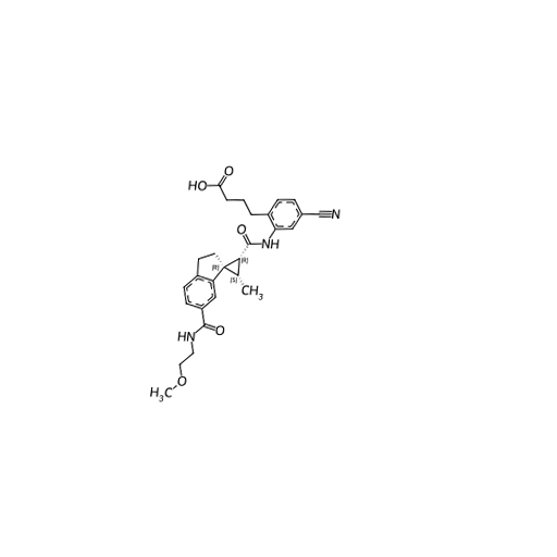 COCCNC(=O)c1ccc2c(c1)[C@@]1(CC2)[C@H](C(=O)Nc2cc(C#N)ccc2CCCC(=O)O)[C@@H]1C